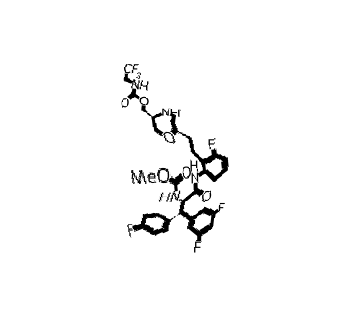 COC(=O)N[C@H](C(=O)Nc1cccc(F)c1CC[C@@H]1CN[C@H](COC(=O)NCC(F)(F)F)CO1)[C@@H](c1ccc(F)cc1)c1cc(F)cc(F)c1